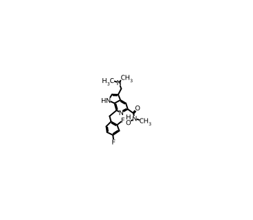 CN(C)Cc1c[nH]c2c(Cc3ccc(F)cc3F)nc(C(=O)N(C)O)cc12